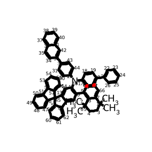 CC1(C)CCC(C)(C)c2c(-c3cc4c(cc3N(c3ccc(-c5ccccc5)cc3)c3ccc(-c5ccc6ccccc6c5)cc3)C3(c5ccccc5-c5ccccc53)c3ccccc3-4)cccc21